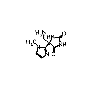 Cn1ccnc1[C@@]1(CN)NC(=O)NC1=O